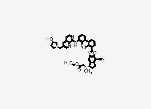 CCOC(=O)CN(C)[C@H]1CCc2c1cc1nc(-c3cccc(-c4cccc(Nc5nccc6cc(CN7CC[C@@H](O)C7)cnc56)c4Cl)c3Cl)oc1c2C#N